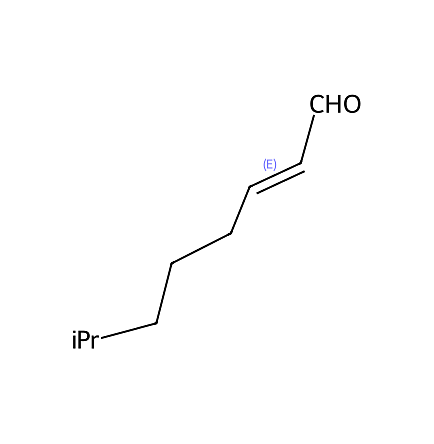 CC(C)CCC/C=C/C=O